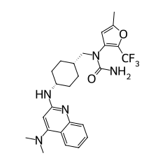 Cc1cc(N(C[C@H]2CC[C@@H](Nc3cc(N(C)C)c4ccccc4n3)CC2)C(N)=O)c(C(F)(F)F)o1